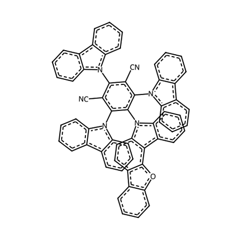 N#Cc1c(-n2c3ccccc3c3ccccc32)c(C#N)c(-n2c3ccccc3c3ccccc32)c(-n2c3ccccc3c3c4oc5ccccc5c4ccc32)c1-n1c2ccccc2c2ccccc21